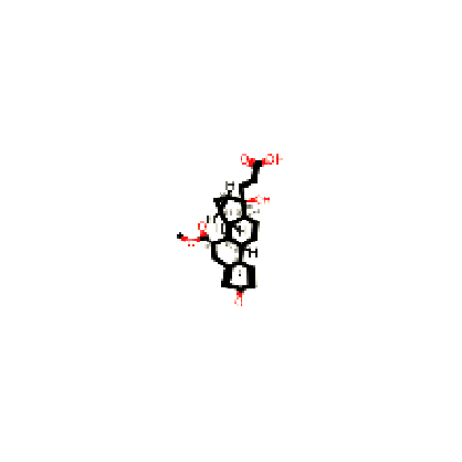 COC(=O)[C@@H]1CC2=CC(=O)C=C[C@]2(C)[C@H]2CC[C@@]3(C)[C@@H]([C@@H]4C[C@@H]4[C@]3(O)CCC(=O)O)[C@H]12